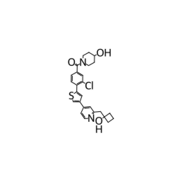 O=C(c1ccc(-c2cc(-c3ccnc(CC4(O)CCC4)c3)cs2)c(Cl)c1)N1CCC(O)CC1